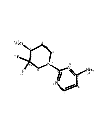 CO[C@H]1CCN(c2nccc(N)n2)CC1(F)F